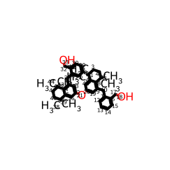 CC1(C)CCC(C)(C)c2c(Cc3ccccc3CO)cc(Oc3cc(Cc4ccccc4CO)c4c(c3)C(C)(C)CCC4(C)C)cc21